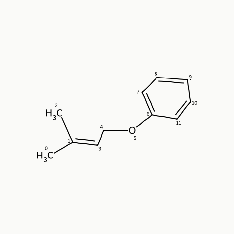 CC(C)=CCOc1cc[c]cc1